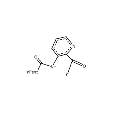 CCCCCC(=O)Nc1cccnc1C(=O)Cl